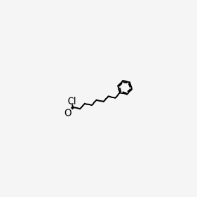 O=C(Cl)CCCCCCCc1ccccc1